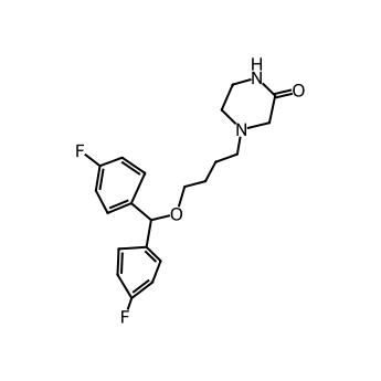 O=C1CN(CCCCOC(c2ccc(F)cc2)c2ccc(F)cc2)CCN1